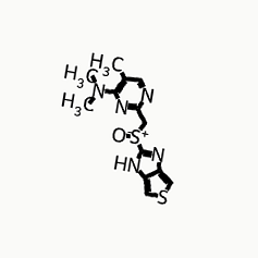 Cc1cnc(C[S+]([O-])c2nc3cscc3[nH]2)nc1N(C)C